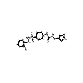 O=C(NCc1cn[nH]c1)Nc1ccc(S(=O)(=O)NCc2ccccc2Cl)cc1